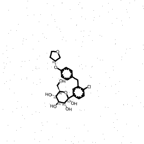 OC[C@H]1O[C@@](O)(c2ccc(Cl)c(Cc3ccc(O[C@@H]4CCOC4)cc3)c2)[C@H](O)[C@@H](O)[C@@H]1O